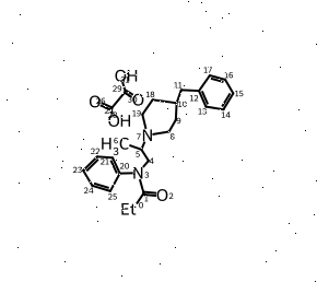 CCC(=O)N(CC(C)N1CCC(Cc2ccccc2)CC1)c1ccccc1.O=C(O)C(=O)O